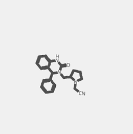 N#CCN1CCCC1CN1C(=O)Nc2ccccc2C1c1ccccc1